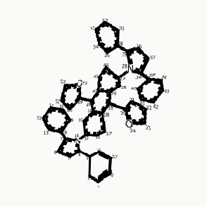 C1=CCC(c2ccc(-c3ccccc3)n2-c2ccc3c(-c4ccco4)c4cc(-n5c(-c6ccccc6)ccc5-c5ccccc5)ccc4c(-c4ccco4)c3c2)C=C1